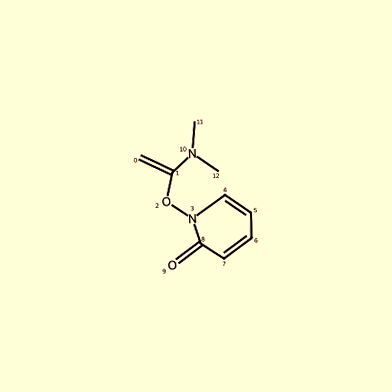 C=C(On1ccccc1=O)N(C)C